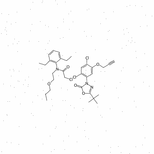 C#CCOc1cc(-n2nc(C(C)(C)C)oc2=O)c(Cl)cc1Cl.CCCOCCN(C(=O)CCl)c1c(CC)cccc1CC